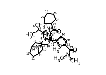 Cc1nnc(C(C)C)n1C1CC2CCC(C1)N2CC[C@H](NC(=O)C1CCCCC1)c1ccc(C(=O)N(C)C)s1